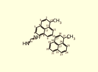 CC1C=Cc2cccc3cccc1c23.CC1C=Cc2cccc3cccc1c23.N=C=N